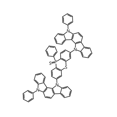 S=P1(c2ccccc2)c2ccc(-n3c4ccccc4c4ccc5c(c6ccccc6n5-c5ccccc5)c43)cc2Sc2cc(-n3c4ccccc4c4ccc5c(c6ccccc6n5-c5ccccc5)c43)ccc21